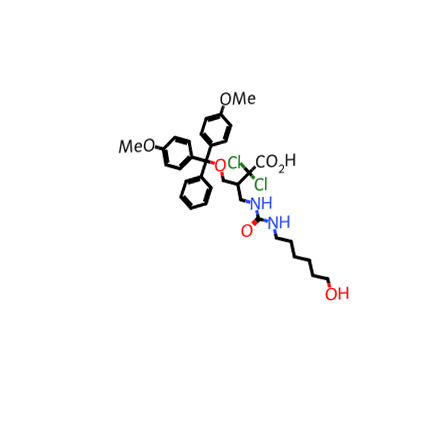 COc1ccc(C(OCC(CNC(=O)NCCCCCCO)C(Cl)(Cl)C(=O)O)(c2ccccc2)c2ccc(OC)cc2)cc1